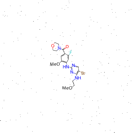 COCCNc1nc(Nc2cc(F)c(C(=O)N3CCOCC3)cc2OC)ncc1Br